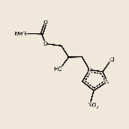 CNC(=O)OCC(O)Cn1cc([N+](=O)[O-])nc1Cl